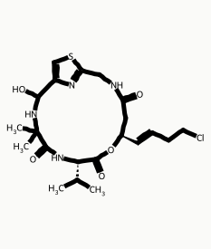 CC(C)[C@@H]1NC(=O)C(C)(C)NC(O)c2csc(n2)CNC(=O)C[C@@H](/C=C/CCCl)OC1=O